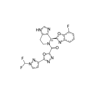 O=C(c1nnc(-c2ccn(C(F)F)n2)o1)N1CCc2[nH]cnc2[C@H]1c1nc2cccc(F)c2o1